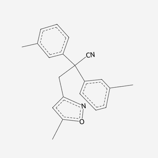 Cc1cccc(C(C#N)(Cc2cc(C)on2)c2cccc(C)c2)c1